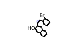 Oc1cc2ccccc2cc1/C=C\c1ccccc1Br